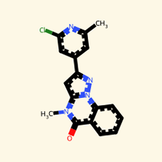 Cc1cc(-c2cc3n(C)c(=O)c4ccccc4n3n2)cc(Cl)n1